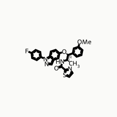 COc1cccc([C@H](Oc2ccc3c(cnn3-c3ccc(F)cc3)c2)[C@H](C)NC(=O)c2nccs2)c1